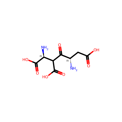 N[C@H](C(=O)O)C(C(=O)O)C(=O)[C@@H](N)CC(=O)O